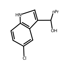 CCCC(O)c1c[nH]c2ccc(Cl)cc12